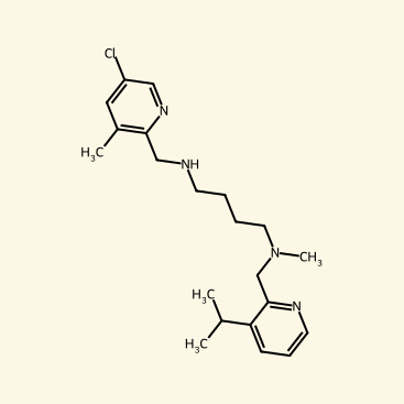 Cc1cc(Cl)cnc1CNCCCCN(C)Cc1ncccc1C(C)C